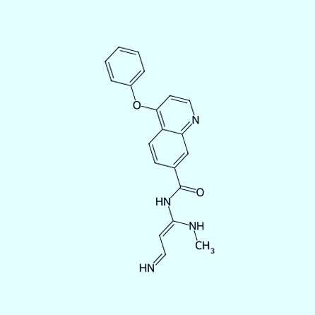 CN/C(=C\C=N)NC(=O)c1ccc2c(Oc3ccccc3)ccnc2c1